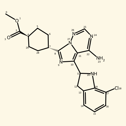 COC(=O)[C@H]1CC[C@H](c2nc(C3Cc4cccc(Cl)c4N3)c3c(N)ncnn32)CC1